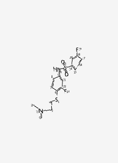 CN(C)CCSc1ccc(NS(=O)(=O)c2cccc(F)c2)cc1F